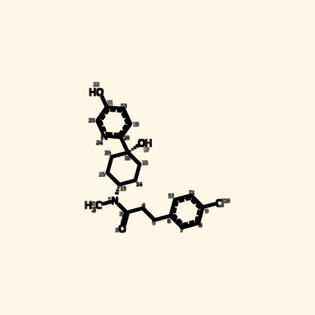 CN(C(=O)CCc1ccc(Cl)cc1)[C@H]1CC[C@](O)(c2ccc(O)cn2)CC1